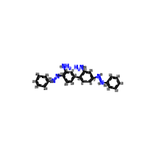 Nc1cc(-c2ccc(/N=N/c3ccccc3)cc2N)ccc1/N=N/c1ccccc1